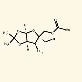 C[C@H]1[C@H]2OC(C)(C)O[C@H]2O[C@@]1(CO)COC(=O)C(C)(C)C